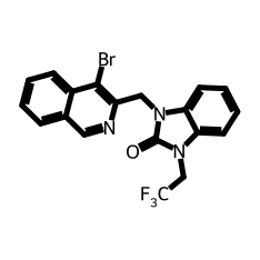 O=c1n(Cc2ncc3ccccc3c2Br)c2ccccc2n1CC(F)(F)F